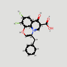 O=C(O)c1cn2c3c(c(F)c(F)cc3c1=O)OC=C2Cc1ccccc1